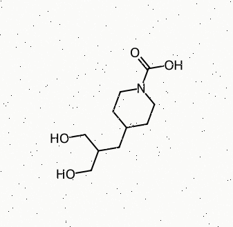 O=C(O)N1CCC(CC(CO)CO)CC1